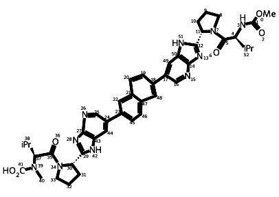 COC(=O)N[C@H](C(=O)N1CCC[C@H]1c1nc2ncc(-c3ccc4cc(-c5cnc6nc([C@@H]7CCCN7C(=O)[C@H](C(C)C)N(C)C(=O)O)[nH]c6c5)ccc4c3)cc2[nH]1)C(C)C